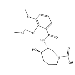 COCOc1c(OC)cccc1C(=O)N[C@@H]1CN(C(=O)O)CCC[C@H]1O